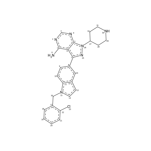 Nc1ncnc2c1c(-c1ccc3c(ccn3Cc3ccccc3Cl)c1)nn2C1CCNCC1